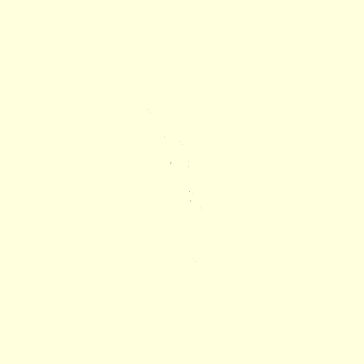 N#Cc1cc(-c2ccnc(Nc3ccc(C(N)=O)cc3)n2)cc2c1N(C(=O)Cc1cccnc1Cl)CC2